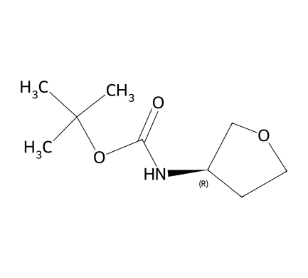 CC(C)(C)OC(=O)N[C@@H]1CCOC1